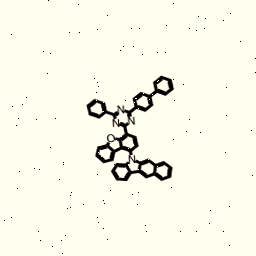 c1ccc(-c2ccc(-c3nc(-c4ccccc4)nc(-c4ccc(-n5c6ccccc6c6cc7ccccc7cc65)c5c4oc4ccccc45)n3)cc2)cc1